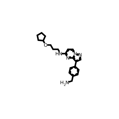 NCc1ccc(-c2cnn3ccc(NCCCOC4CCCC4)nc23)cc1